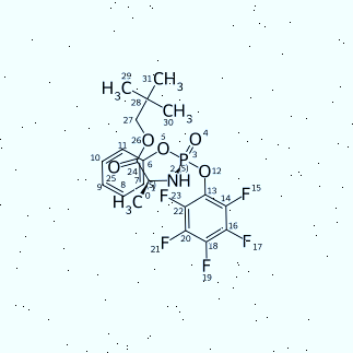 C[C@H](N[P@](=O)(Oc1ccccc1)Oc1c(F)c(F)c(F)c(F)c1F)C(=O)OCC(C)(C)C